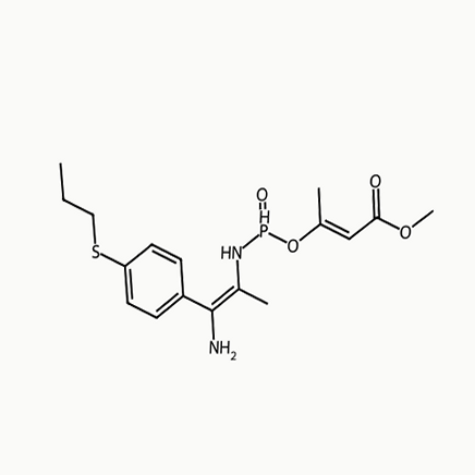 CCCSc1ccc(/C(N)=C(/C)N[PH](=O)O/C(C)=C/C(=O)OC)cc1